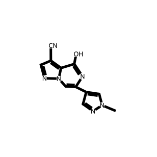 Cn1cc(-c2cn3ncc(C#N)c3c(O)n2)cn1